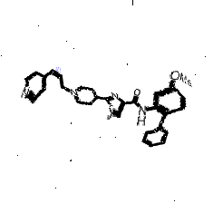 COc1ccc(-c2ccccc2)c(NC(=O)c2csc(C3CCN(C/C=C\c4ccncc4)CC3)n2)c1